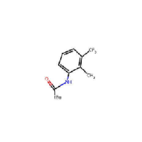 Cc1c(NC(=O)C(C)(C)C)cccc1C(F)(F)F